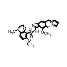 COc1ccc2c(c1S(=O)(=O)Nc1noc3cc(Cn4cccn4)c(F)c(OC)c13)OCCN2C